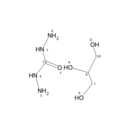 NNC(=O)NN.OCC(O)CO